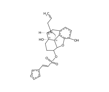 C=CCN1CC[C@]23c4c5ccc(O)c4OC2C(OS(=O)(=O)C=Cc2ccoc2)CC[C@@]3(O)[C@H]1C5